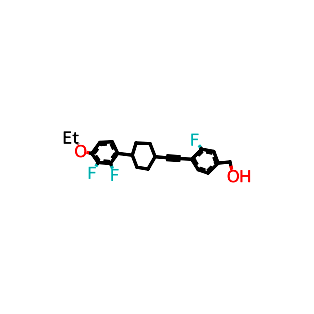 CCOc1ccc(C2CCC(C#Cc3ccc(CO)cc3F)CC2)c(F)c1F